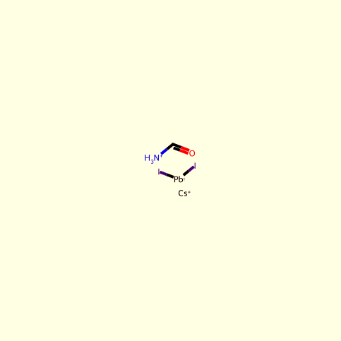 [Cs+].[I][Pb][I].[NH3+]C=O